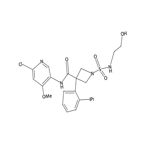 COc1cc(Cl)ncc1NC(=O)C1(c2ccccc2C(C)C)CN(S(=O)(=O)NCCO)C1